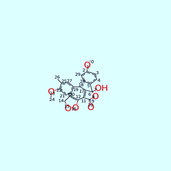 COc1ccc(C2(O)OC(=O)C(C3=CCOO3)=C2Cc2ccc(OC)c(C)c2)cc1